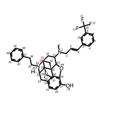 CN(C/C=C/c1cccc(C(F)(F)F)c1)C1CC[C@@]2(N(C)C)[C@H]3Cc4ccc(O)c5c4[C@@]2(CCN3CCc2ccccc2)C1O5